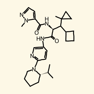 CC(C)[C@@H]1CCCCN1c1ccc(NC(=O)[C@@H](NC(=O)c2ccnn2C)C(C2CCC2)C2(C)CC2)cn1